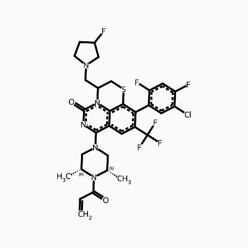 C=CC(=O)N1[C@H](C)CN(c2nc(=O)n3c4c(c(-c5cc(Cl)c(F)cc5F)c(C(F)(F)F)cc24)SCC3CN2CCC(F)C2)C[C@@H]1C